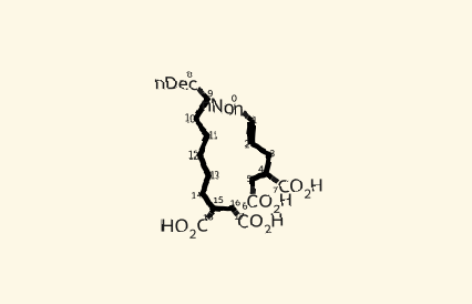 CCCCCCCCCC=CCC(CC(=O)O)C(=O)O.CCCCCCCCCCCCCCCCC(CC(=O)O)C(=O)O